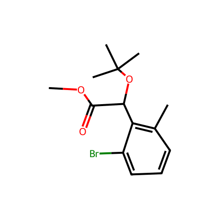 COC(=O)C(OC(C)(C)C)c1c(C)cccc1Br